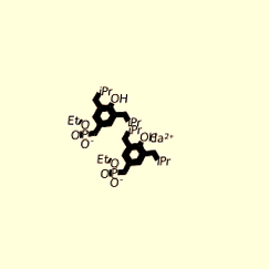 CCOP(=O)([O-])Cc1cc(CC(C)C)c(O)c(CC(C)C)c1.CCOP(=O)([O-])Cc1cc(CC(C)C)c(O)c(CC(C)C)c1.[Ca+2]